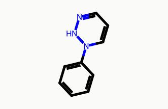 C1=CN(c2ccccc2)NN=C1